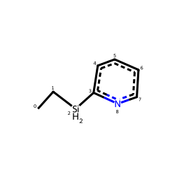 CC[SiH2]c1ccccn1